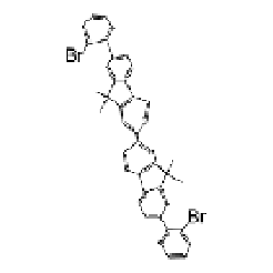 CC1(C)c2cc(-c3ccc4c(c3)C(C)(C)c3cc(-c5ccccc5Br)ccc3-4)ccc2-c2ccc(-c3ccccc3Br)cc21